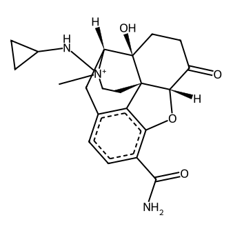 C[N+]1(NC2CC2)CC[C@]23c4c5ccc(C(N)=O)c4O[C@H]2C(=O)CC[C@@]3(O)[C@H]1C5